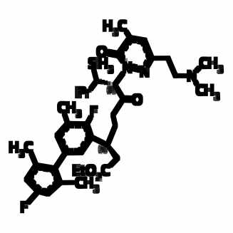 CCOC(=O)C[C@H](CCC(=O)[C@H](C([SiH3])C(C)C)n1nc(CCN(C)C)cc(C)c1=O)c1cc(-c2c(C)cc(F)cc2C)cc(C)c1F